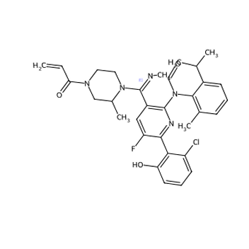 C=CC(=O)N1CCN(/C(=N/C)c2cc(F)c(-c3c(O)cccc3Cl)nc2N(C=O)c2c(C)cccc2C(C)C)C(C)C1